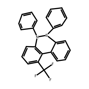 FC(F)(F)c1cccc2c1-c1ccccc1B(c1ccccc1)N2c1ccccc1